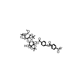 COC(OC)[C@@H]1OC(C)(C)O[C@H]1[C@H](O[C@@H]1O[C@H](COC(=O)c2ccc(NC(=O)c3ccc([N+](=O)[O-])cc3)cc2)[C@@H]2OC(C)(C)O[C@@H]2[C@H]1O)[C@H]1COC(C)(C)O1